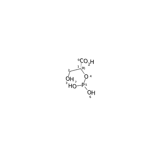 O=C(O)[C@@H](CO)OP(O)O